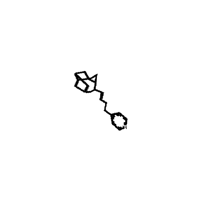 C(=C\C1C2CC3CC4(CC14)C3C2)/CCc1ccncc1